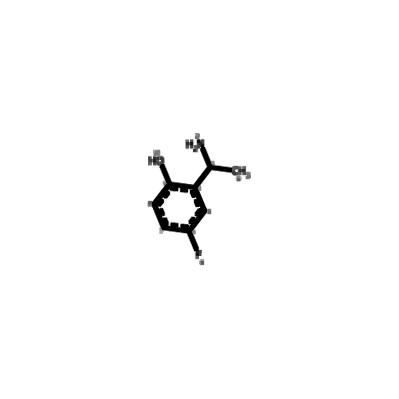 CC(N)c1cc(F)ccc1O